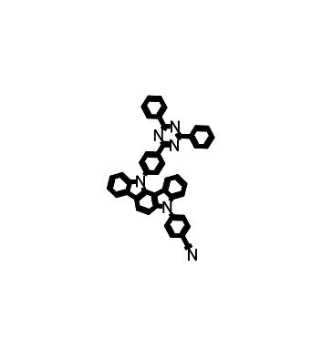 N#Cc1ccc(-n2c3ccccc3c3c2ccc2c4ccccc4n(-c4ccc(-c5nc(-c6ccccc6)nc(-c6ccccc6)n5)cc4)c23)cc1